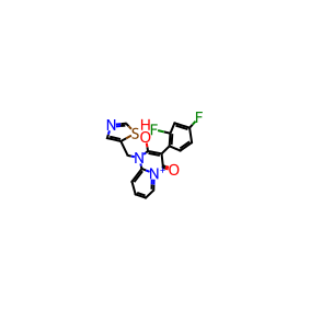 O=c1c(-c2ccc(F)cc2F)c(O)n(Cc2cncs2)c2cccc[n+]12